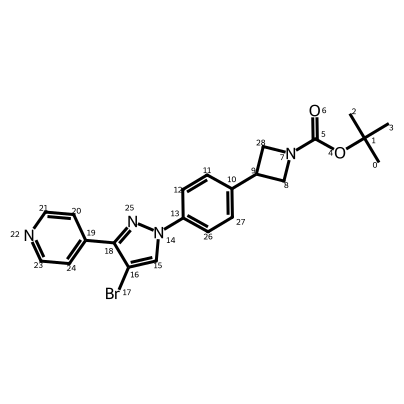 CC(C)(C)OC(=O)N1CC(c2ccc(-n3cc(Br)c(-c4ccncc4)n3)cc2)C1